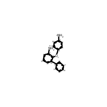 Nc1ccc(Oc2c(N)cccc2-c2ccccc2)cc1